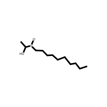 CCCCCCCCCC[S+]([O-])C(C)O